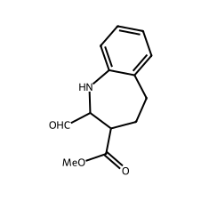 COC(=O)C1CCc2ccccc2NC1C=O